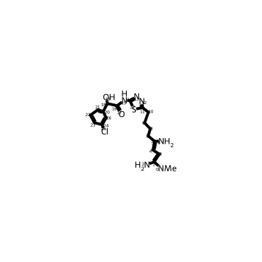 CN/C(N)=C/C=C(\N)CCCCc1nnc(NC(=O)C(O)c2cccc(Cl)c2)s1